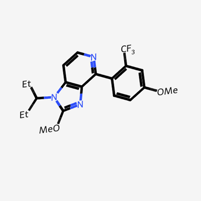 CCC(CC)n1c(OC)nc2c(-c3ccc(OC)cc3C(F)(F)F)nccc21